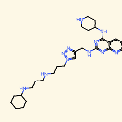 c1cnc2nc(NCc3cn(CCCNCCCNC4CCCCC4)nn3)nc(NC3CCNCC3)c2c1